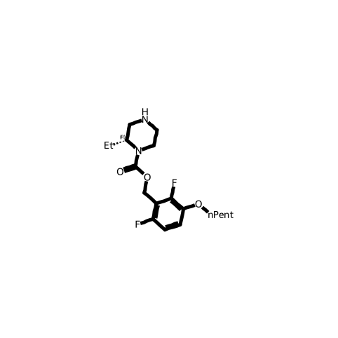 CCCCCOc1ccc(F)c(COC(=O)N2CCNC[C@H]2CC)c1F